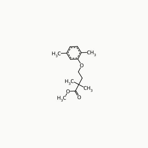 COC(=O)C(C)(C)CCOc1cc(C)ccc1C